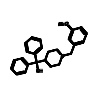 COc1cccc(CN2CCC(C(O)(c3ccccc3)c3ccccc3)CC2)c1